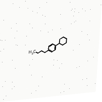 CCCCc1ccc(C2CCCCC2)cc1